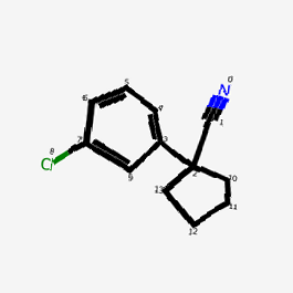 N#CC1(c2cccc(Cl)c2)CCCC1